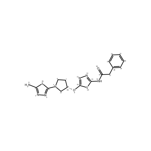 Nc1nnc(N2CC[C@H](Oc3nnc(NC(=O)Cc4ccccc4)s3)C2)s1